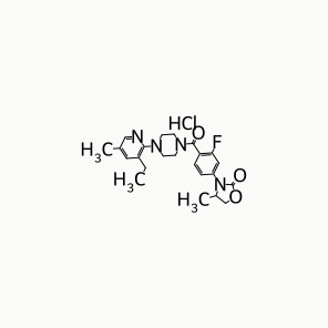 CCc1cc(C)cnc1N1CCN(C(=O)c2ccc(N3C(=O)OCC3C)cc2F)CC1.Cl